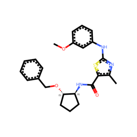 COc1cccc(Nc2nc(C)c(C(=O)N[C@H]3CCC[C@@H]3OCc3ccccc3)s2)c1